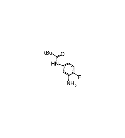 CC(C)(C)C(=O)Nc1ccc(F)c(N)c1